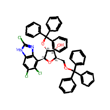 O[C@H]1[C@@H](OC(c2ccccc2)(c2ccccc2)c2ccccc2)[C@H](c2c(Cl)c(Cl)cc3[nH]c(Cl)nc23)O[C@@H]1COC(c1ccccc1)(c1ccccc1)c1ccccc1